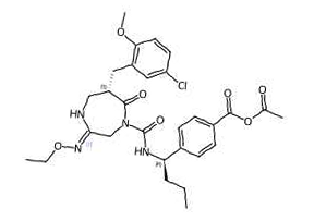 CCC[C@@H](NC(=O)N1C/C(=N/OCC)NC[C@H](Cc2cc(Cl)ccc2OC)C1=O)c1ccc(C(=O)OC(C)=O)cc1